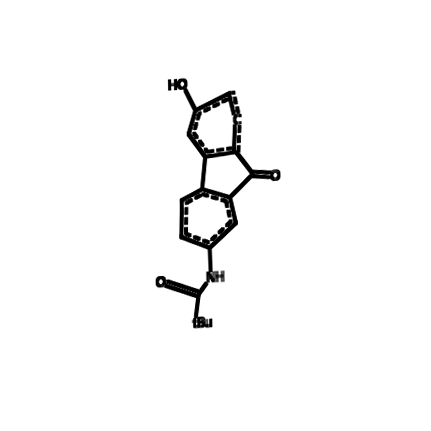 CC(C)(C)C(=O)Nc1ccc2c(c1)C(=O)c1ccc(O)cc1-2